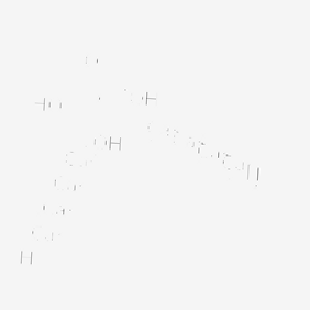 O=P(O)(O)O.[Ca+2].[Ca+2].[Ca+2].[Ca+2].[Ca+2].[Ca+2].[Ca+2].[Ca+2].[H+].[H+]